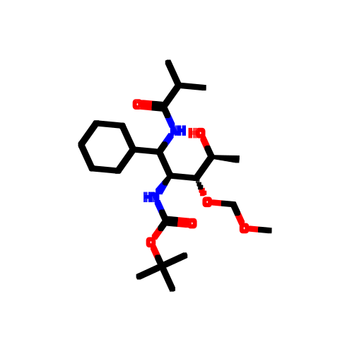 COCO[C@@H]([C@H](C)O)[C@@H](NC(=O)OC(C)(C)C)C(NC(=O)C(C)C)C1CCCCC1